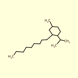 [CH2]CCCCCCCCC1CC(C)CCC1C(C)C